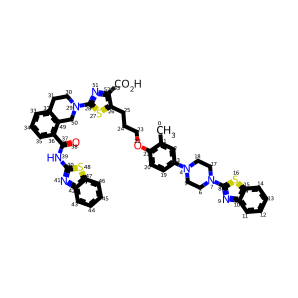 Cc1cc(N2CCN(c3nc4ccccc4s3)CC2)ccc1OCCCc1sc(N2CCc3cccc(C(=O)Nc4nc5ccccc5s4)c3C2)nc1C(=O)O